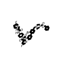 O=C(N[C@H]1CC[C@@H](n2c(=O)c3cc(F)cnc3n(-c3cccc(-c4ccc(CN5CCN(C(=O)OCc6ccccc6)CC5)cc4Br)c3)c2=O)CC1)c1cn2cc(F)ccc2n1